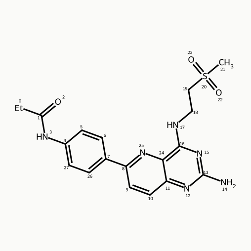 CCC(=O)Nc1ccc(-c2ccc3nc(N)nc(NCCS(C)(=O)=O)c3n2)cc1